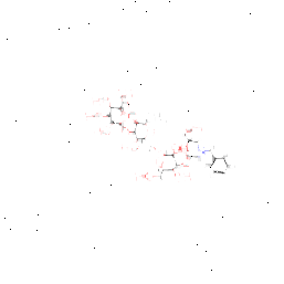 CC1OC(COC2OC(CO)C(O)C(OC3CN(Cc4ccccc4)CC(CO)O3)C2O)C(O)C(OC2OC(CO)C(O)C(O)C2O)C1O